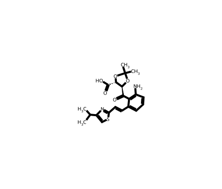 CC(C)c1csc(C=Cc2cccc(N)c2C(=O)[C@@H]2OC(C)(C)O[C@H]2C(=O)O)n1